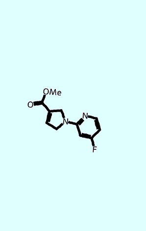 COC(=O)C1=CCN(c2cc(F)ccn2)C1